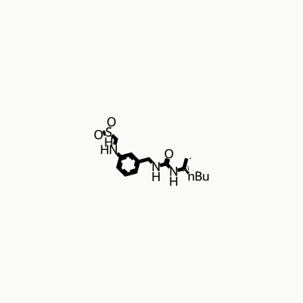 [CH2][C@@H](CCCC)NC(=O)NCc1cccc(NC[SH](=O)=O)c1